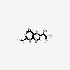 CNC1=NC2OC2C2=C(NC[C@H]([C@@H](O)[C@H](C)O)N2)N1